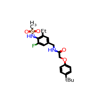 CCc1cc(CNC(=O)COc2ccc(C(C)(C)C)cc2)cc(F)c1NS(C)(=O)=O